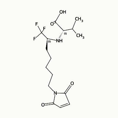 CC(C)[C@H](N[C@@H](CCCCCN1C(=O)C=CC1=O)C(F)(F)F)C(=O)O